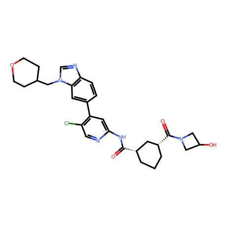 O=C(Nc1cc(-c2ccc3ncn(CC4CCOCC4)c3c2)c(Cl)cn1)[C@H]1CCC[C@@H](C(=O)N2CC(O)C2)C1